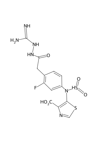 N=C(N)NNC(=O)Cc1ccc(N(c2scnc2C(=O)O)[SH](=O)=O)cc1F